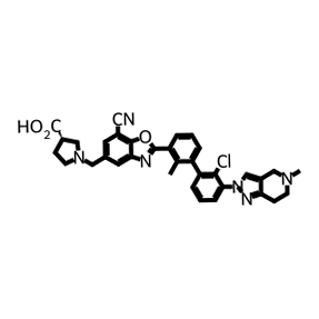 Cc1c(-c2nc3cc(CN4CC[C@H](C(=O)O)C4)cc(C#N)c3o2)cccc1-c1cccc(-n2cc3c(n2)CCN(C)C3)c1Cl